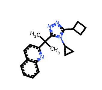 CC(C)(c1ccc2ccccc2n1)c1nnc(C2CCC2)n1C1CC1